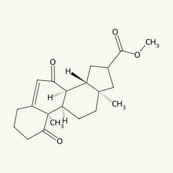 COC(=O)C1C[C@H]2[C@@H]3C(=O)C=C4CCCC(=O)[C@]4(C)[C@@H]3CC[C@]2(C)C1